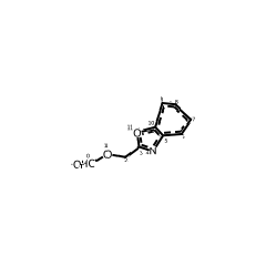 O=[C]OCc1nc2ccccc2o1